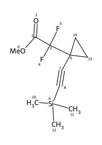 COC(=O)C(F)(F)C1(C#C[Si](C)(C)C)CC1